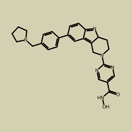 O=C(NO)c1cnc(N2CCC3N=c4ccc(-c5ccc(CN6CCCC6)cc5)cc4=C3C2)nc1